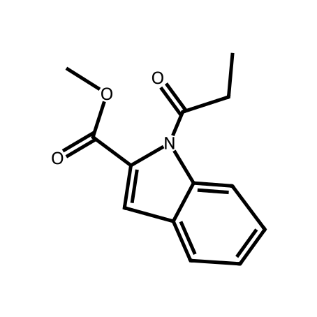 CCC(=O)n1c(C(=O)OC)cc2ccccc21